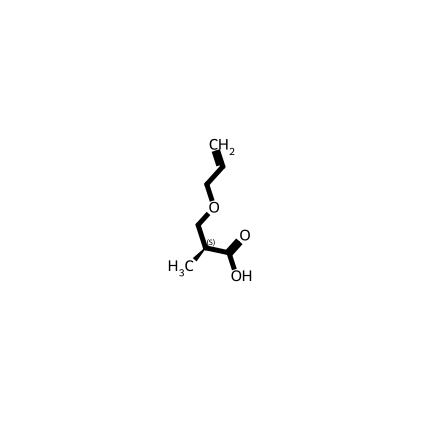 C=CCOC[C@H](C)C(=O)O